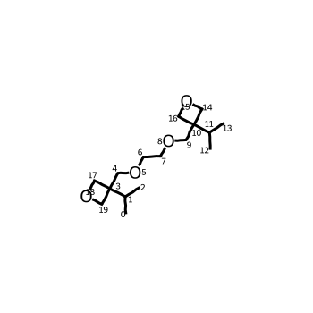 CC(C)C1(COCCOCC2(C(C)C)COC2)COC1